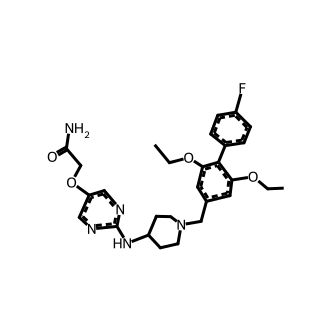 CCOc1cc(CN2CCC(Nc3ncc(OCC(N)=O)cn3)CC2)cc(OCC)c1-c1ccc(F)cc1